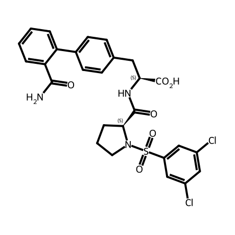 NC(=O)c1ccccc1-c1ccc(C[C@H](NC(=O)[C@@H]2CCCN2S(=O)(=O)c2cc(Cl)cc(Cl)c2)C(=O)O)cc1